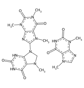 CN1CN(c2nc3c(c(=O)n(C)c(=O)n3C)n2C)c2[nH]c(=O)[nH]c(=O)c21.Cn1cnc2c1c(=O)[nH]c(=O)n2C